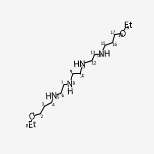 CCOCCCNCCNCCNCCNCCCOCC